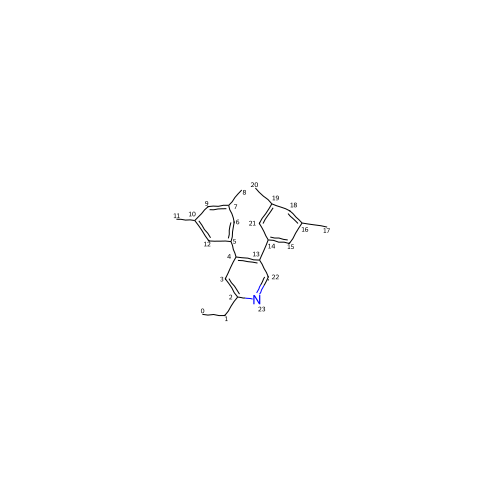 CCc1cc(-c2cc(C)cc(C)c2)c(-c2cc(C)cc(C)c2)[c]n1